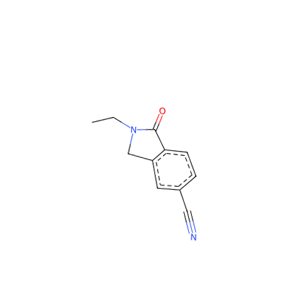 CCN1Cc2cc(C#N)ccc2C1=O